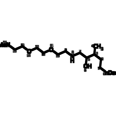 CCCCCCCCCCCCC(C)C(O)CNCCOCCOCCNC